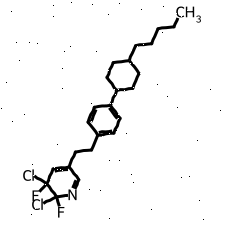 CCCCCC1CCC(c2ccc(CCC3=CC(F)(Cl)C(F)(Cl)N=C3)cc2)CC1